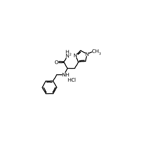 Cl.Cn1cnc(CC(NCc2ccccc2)C(N)=O)c1